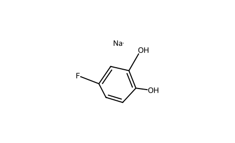 Oc1ccc(F)cc1O.[Na]